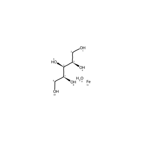 O.OC[C@@H](O)[C@H](O)[C@@H](O)CO.[Fe]